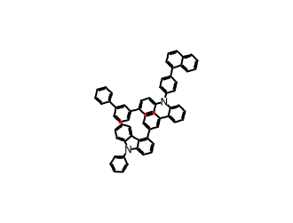 c1ccc(-c2cccc(-c3ccc(N(c4ccc(-c5cccc6ccccc56)cc4)c4ccccc4-c4cccc(-c5cccc6c5c5ccccc5n6-c5ccccc5)c4)cc3)c2)cc1